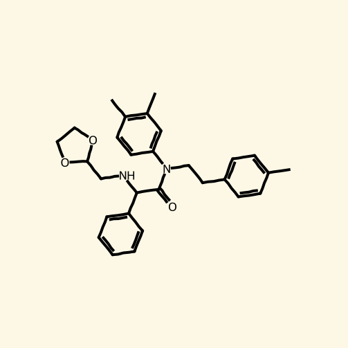 Cc1ccc(CCN(C(=O)C(NCC2OCCO2)c2ccccc2)c2ccc(C)c(C)c2)cc1